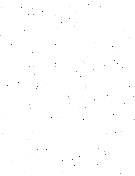 O=P1([O-])OOO1.O=P1([O-])OOO1.[Mg+2]